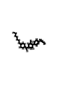 CCCCCCCC1CCC(C(C)c2ccc(-c3ccc(N=C=S)cc3)c(F)c2)CC1